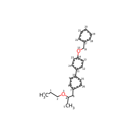 CCCOC(C)Cc1ccc(-c2ccc(OCc3ccccc3)cc2)cc1